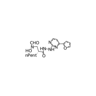 CCCCC[C@H](CN(O)C=O)C(=O)NNc1nccc(-c2ccco2)n1